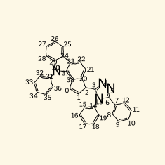 C1=CC(c2nnc(-c3ccccc3)n2-c2ccccc2)c2ccc3c4ccccc4n(-c4ccccc4)c3c21